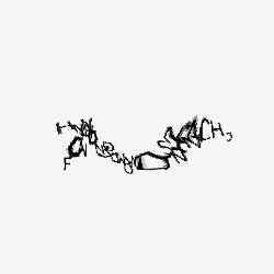 Cn1cnc(-c2cnc(C3=CCN(C(=O)CN4CC[C@]5(CCN(c6ccc(N)c(C(=N)c7ccc(F)cn7)c6)C5=O)C4)CC3)s2)n1